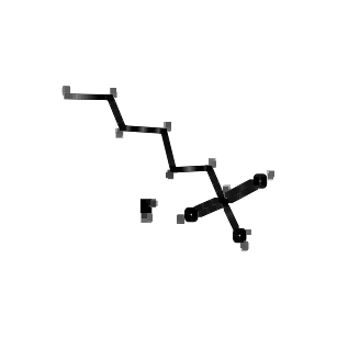 CCCCCCS(=O)(=O)[O-].[K+]